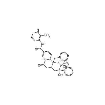 CC1=C(NC(=O)C2=CC3C(=O)CC4CC(O)(c5ccccc5)C(C)(O)CC4(Cc4ccccc4)C3C=C2)C=CCN1